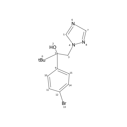 CC(C)(C)C(O)(Cn1cncn1)c1ccc(Br)cc1